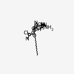 CCCCCCCCCCCCCCCCOC[C@@H](COP(=O)(O)OC[C@@](CC#N)(OC)[C@@H](O)[C@@H](O)c1ccc2c(N)ncnn12)OCc1cc(Cl)cc(C#N)c1